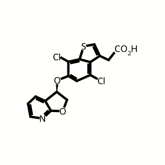 O=C(O)Cc1csc2c(Cl)c(O[C@H]3COc4ncccc43)cc(Cl)c12